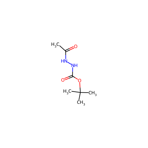 CC(=O)NNC(=O)OC(C)(C)C